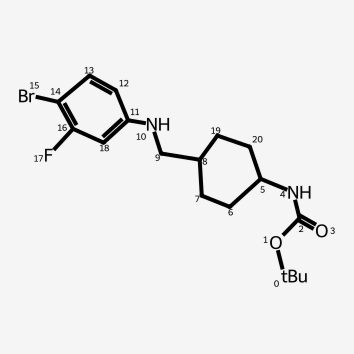 CC(C)(C)OC(=O)NC1CCC(CNc2ccc(Br)c(F)c2)CC1